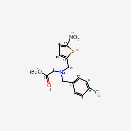 CC(C)COC(=O)CN(Cc1ccc(Cl)cc1)Cc1ccc([N+](=O)[O-])s1